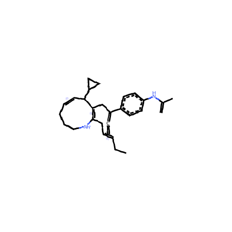 C=C=C(C/C1=C(\C/C=C/CC)NCCC/C=C\C1C1CC1)c1ccc(NC(=C)C)cc1